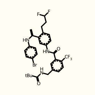 C=C(Nc1ccc(Br)cc1)c1cc(NC(=O)c2cc(CNC(=O)C(C)(C)C)ccc2C(F)(F)F)ccc1CCC(F)F